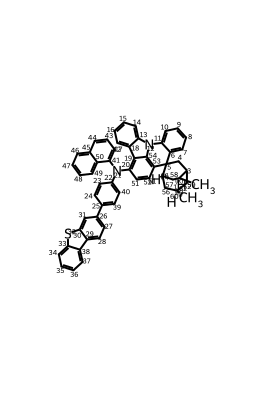 C[C@@H]1CC2CC3(c4ccccc4-n4c5ccccc5c5c(N(c6ccc(-c7ccc8c(c7)sc7ccccc78)cc6)c6cccc7ccccc67)ccc3c54)[C@H](C1)C[C@H]2C